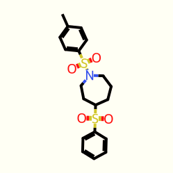 Cc1ccc(S(=O)(=O)N2CCCC(S(=O)(=O)c3ccccc3)CC2)cc1